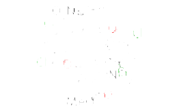 COC(=O)c1cc(Oc2ccc(Cl)cc2Cl)ccc1[N+](=O)[O-].O=[N+]([O-])c1ccc(Oc2ccc(Cl)cc2Cl)cc1